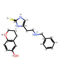 Oc1ccc2c(c1)C[C@@H](N1C(=S)[N]C=C1CCNCc1ccccc1)CO2